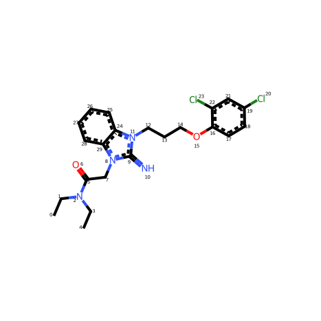 CCN(CC)C(=O)Cn1c(=N)n(CCCOc2ccc(Cl)cc2Cl)c2ccccc21